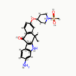 CC1(C)c2cc(OC3CCN(S(C)(=O)=O)CC3)ccc2C(=O)c2c1[nH]c1cc(N)ccc21